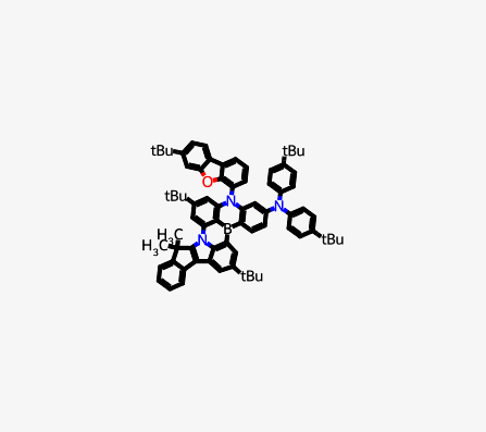 CC(C)(C)c1ccc(N(c2ccc(C(C)(C)C)cc2)c2ccc3c(c2)N(c2cccc4c2oc2cc(C(C)(C)C)ccc24)c2cc(C(C)(C)C)cc4c2B3c2cc(C(C)(C)C)cc3c5c(n-4c23)C(C)(C)c2ccccc2-5)cc1